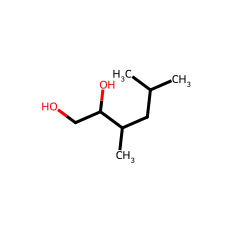 CC(C)CC(C)C(O)CO